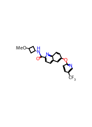 CO[C@H]1C[C@H](NC(=O)c2ccc3cc(Oc4ccc(C(F)(F)F)cn4)ccc3n2)C1